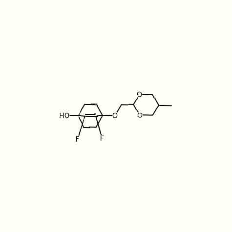 CC1COC(COC23CCC(O)(CC2)C(F)=C3F)OC1